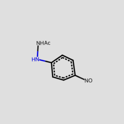 CC(=O)NNc1ccc(N=O)cc1